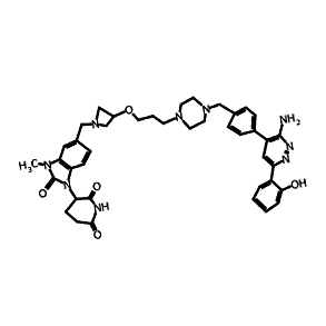 Cn1c(=O)n(C2CCC(=O)NC2=O)c2ccc(CN3CC(OCCCN4CCN(Cc5ccc(-c6cc(-c7ccccc7O)nnc6N)cc5)CC4)C3)cc21